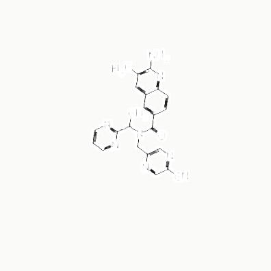 Cc1cc2cc(C(=O)N(Cc3cnc(C#N)cn3)C(C)c3ncccn3)ccc2nc1N